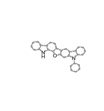 c1ccc(-n2c3ccccc3c3cc4c(cc32)oc2c4ccc3c4ccccc4[nH]c32)cc1